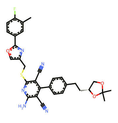 Cc1cc(-c2nc(CSc3nc(N)c(C#N)c(-c4ccc(CC[C@@H]5COC(C)(C)O5)cc4)c3C#N)co2)ccc1F